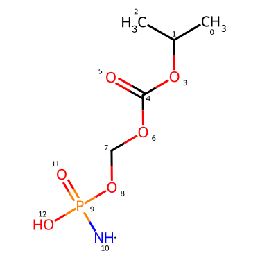 CC(C)OC(=O)OCOP([NH])(=O)O